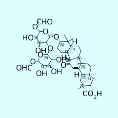 CC1(C)[C@@H](O[C@H]2OC(OC=O)[C@@H](O)[C@H](O)C2O[C@@H]2OC(OC=O)[C@@H](O)[C@H](O)C2O)CC[C@]2(C)[C@H]3C(=O)C=C4[C@@H]5C[C@@](C)(C(=O)O)CC[C@]5(C)CC[C@@]4(C)[C@]3(C)CC[C@@H]12